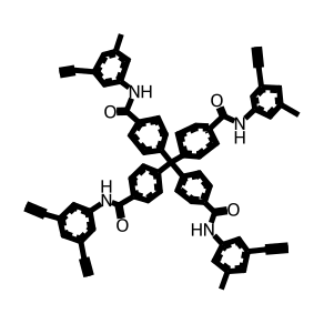 C#Cc1cc(C)cc(NC(=O)c2ccc(C(c3ccc(C(=O)Nc4cc(C)cc(C#C)c4)cc3)(c3ccc(C(=O)Nc4cc(C)cc(C#C)c4)cc3)c3ccc(C(=O)Nc4cc(C#C)cc(C#C)c4)cc3)cc2)c1